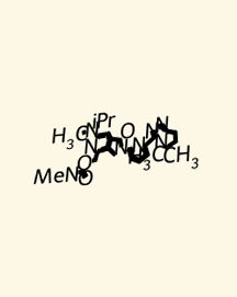 CNC(=O)OCc1nc(N(C)C(C)C)cc2c1CN(c1cccc(-c3nnc4n3C(C)(C)CC4)n1)C2=O